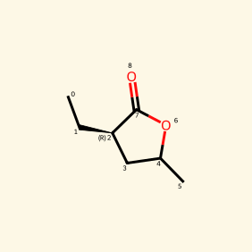 CC[C@@H]1CC(C)OC1=O